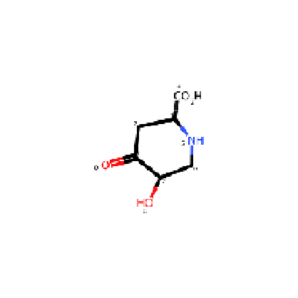 O=C1CC(C(=O)O)NCC1O